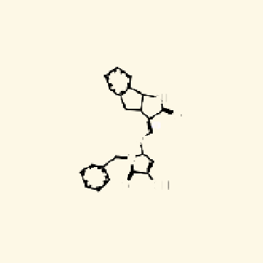 CC1=CC(O/C=C2/C(=O)NC3c4ccccc4CC23)N(Cc2ccccc2)C1=O